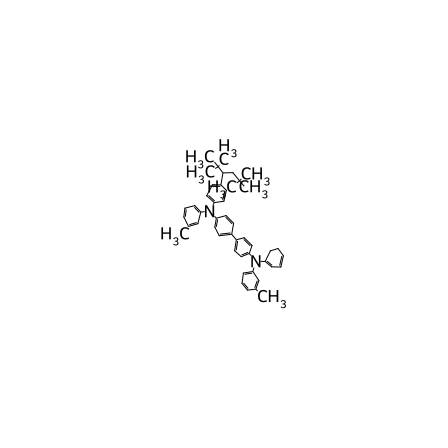 Cc1cccc(N(C2=CC=CCC2)c2ccc(-c3ccc(N(c4ccc(C(CC(C)(C)C)C(C)(C)C)cc4)c4cccc(C)c4)cc3)cc2)c1